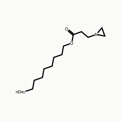 CCCCCCCCCCCCCCCCCCOC(=O)CCN1CC1